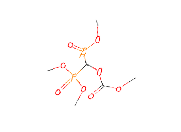 COC(=O)OC([PH](=O)OC)P(=O)(OC)OC